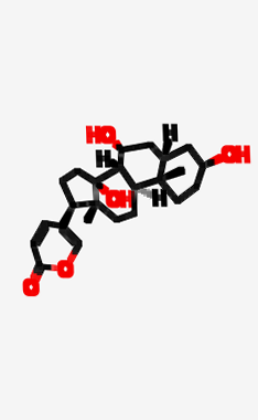 C[C@]12CC[C@H](O)C[C@H]1C[C@H](O)[C@@H]1[C@@H]2CC[C@]2(C)[C@@H](c3ccc(=O)oc3)CC[C@]12O